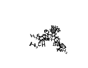 CC1=CC(C)=C(CNC(=O)c2cc(C3=CCN(C(=O)CN)CC3)cc(NC3CCCC3)c2C=N)C(O)N1